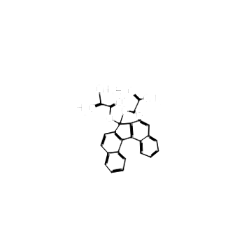 C=C(C)C(=O)OC1(OC(=O)C(=C)C)c2ccc3ccccc3c2-c2c1ccc1ccccc21